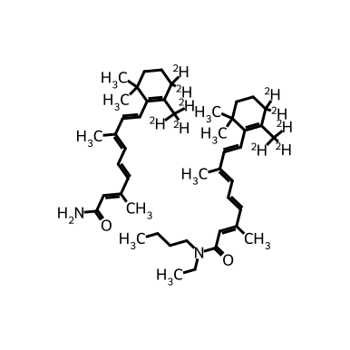 [2H]C([2H])([2H])C1=C(C=CC(C)=CC=CC(C)=CC(=O)N(CC)CCCC)C(C)(C)CCC1([2H])[2H].[2H]C([2H])([2H])C1=C(C=CC(C)=CC=CC(C)=CC(N)=O)C(C)(C)CCC1([2H])[2H]